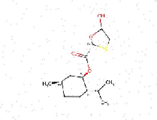 CC(C)[C@@H]1CC[C@@H](C)C[C@H]1OC(=O)[C@@H]1OC(O)CS1